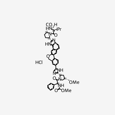 COC[C@H]1C[C@@H](c2ncc(-c3ccc4c(c3)COc3cc5c(ccc6nc([C@@H]7CC[C@H](C)N7C(=O)[C@@H](NC(=O)O)C(C)C)[nH]c65)cc3-4)[nH]2)N(C(=O)[C@H](NC(=O)OC)c2ccccc2)C1.Cl